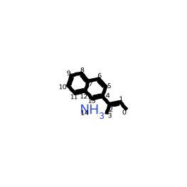 CC=C(C)c1ccc2ccccc2c1.N